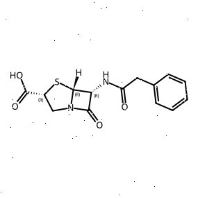 O=C(Cc1ccccc1)N[C@@H]1C(=O)N2C[C@H](C(=O)O)S[C@H]12